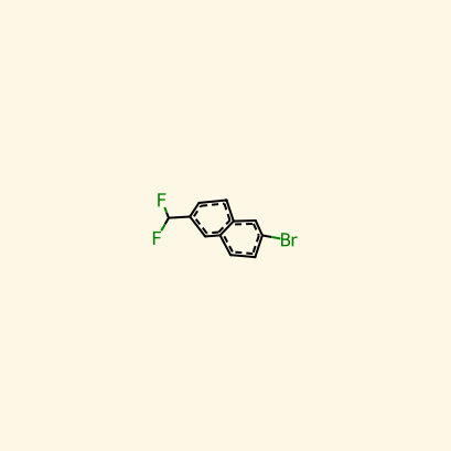 FC(F)c1ccc2cc(Br)ccc2c1